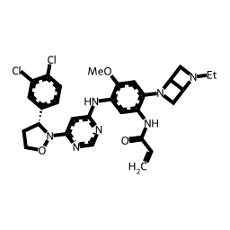 C=CC(=O)Nc1cc(Nc2cc(N3OCC[C@@H]3c3ccc(Cl)c(Cl)c3)ncn2)c(OC)cc1N1CC2C1CN2CC